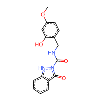 COc1ccc(CNC(=O)n2[nH]c3ccccc3c2=O)c(O)c1